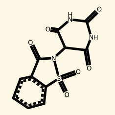 O=C1NC(=O)C(N2C(=O)c3ccccc3S2(=O)=O)C(=O)N1